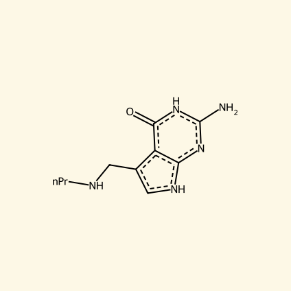 CCCNCc1c[nH]c2nc(N)[nH]c(=O)c12